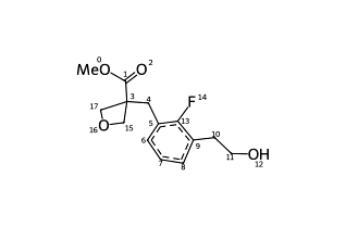 COC(=O)C1(Cc2cccc(CCO)c2F)COC1